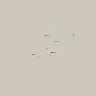 CC1CC1C[C@@H](C(=O)NC(C)(C)C)[C@H](CCC1CC1)C(N)=O